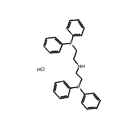 Cl.c1ccc(P(CCNCCP(c2ccccc2)c2ccccc2)c2ccccc2)cc1